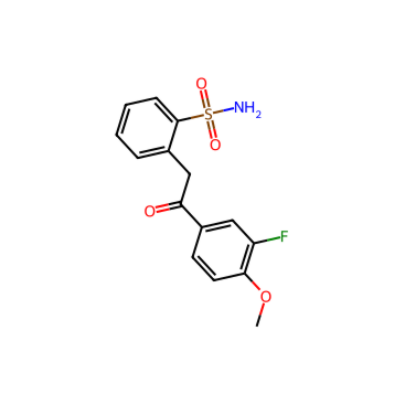 COc1ccc(C(=O)Cc2ccccc2S(N)(=O)=O)cc1F